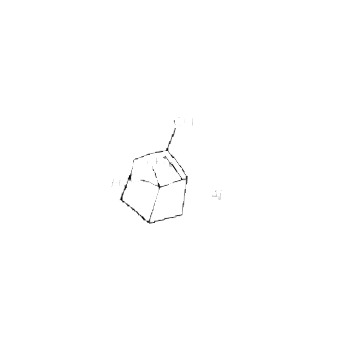 CC1=C2CC(CC1)C2(C)C.[Al]